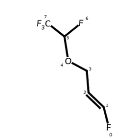 FC=CCOC(F)C(F)(F)F